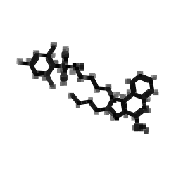 CCCCc1nc2c(N)nc3ccccc3c2n1CCCCNS(=O)(=O)c1c(C)cc(C)cc1C